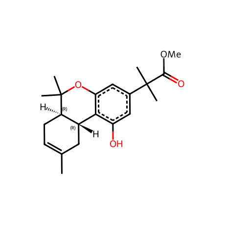 COC(=O)C(C)(C)c1cc(O)c2c(c1)OC(C)(C)[C@@H]1CC=C(C)C[C@@H]21